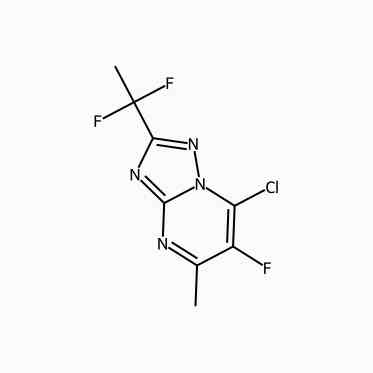 Cc1nc2nc(C(C)(F)F)nn2c(Cl)c1F